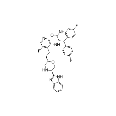 NC(=O)[C@@H](Nc1cncc(F)c1CC[C@@H]1CN[C@H](c2nc3ccccc3[nH]2)CO1)C(c1ccc(F)cc1)c1ccc(F)cc1